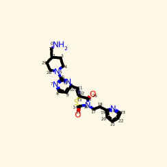 NCC1CCN(c2nccc(/C=C3\SC(=O)N(CCc4ccccn4)C3=O)n2)CC1